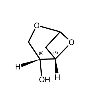 O[C@@H]1COC2C[C@@H]1O2